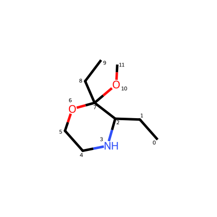 CCC1NCCOC1(CC)OC